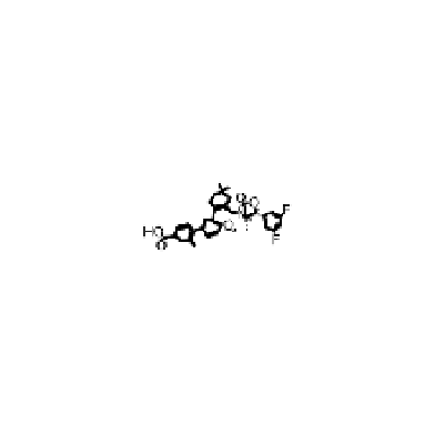 COc1ccc(-c2ccc(C(=O)O)cc2C)cc1C1=C(CN2C(=O)O[C@H](c3cc(F)cc(F)c3)[C@@H]2C)CC(C)(C)CC1